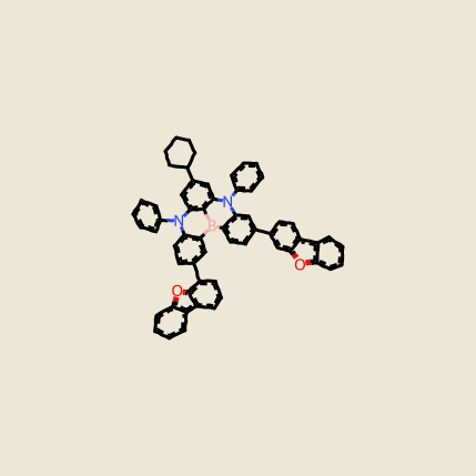 c1ccc(N2c3ccc(-c4cccc5c4oc4ccccc45)cc3B3c4ccc(-c5ccc6c(c5)oc5ccccc56)cc4N(c4ccccc4)c4cc(C5CCCCC5)cc2c43)cc1